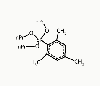 CCCO[Si](OCCC)(OCCC)c1c(C)cc(C)cc1C